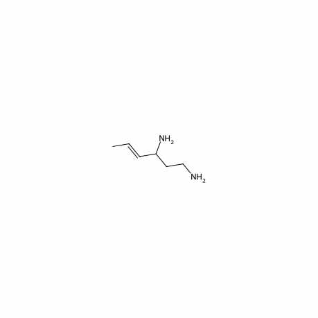 CC=CC(N)CCN